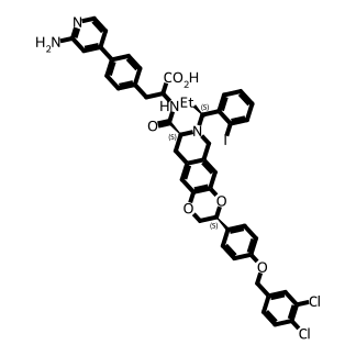 CC[C@@H](c1ccccc1I)N1Cc2cc3c(cc2C[C@H]1C(=O)NC(Cc1ccc(-c2ccnc(N)c2)cc1)C(=O)O)OC[C@H](c1ccc(OCc2ccc(Cl)c(Cl)c2)cc1)O3